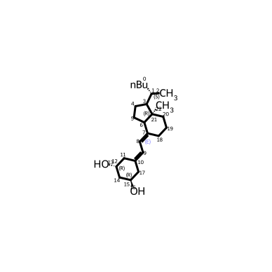 CCCC[C@H](C)C1CCC2/C(=C/C=C3C[C@@H](O)C[C@H](O)C3)CCC[C@@]21C